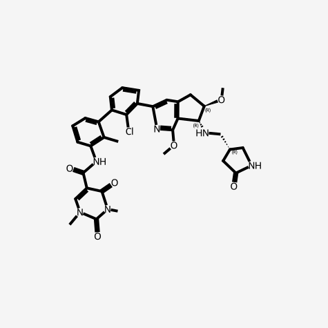 COc1nc(-c2cccc(-c3cccc(NC(=O)c4cn(C)c(=O)n(C)c4=O)c3C)c2Cl)cc2c1[C@@H](NC[C@@H]1CNC(=O)C1)[C@H](OC)C2